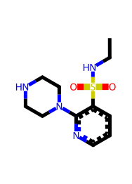 CCNS(=O)(=O)c1cccnc1N1CCNCC1